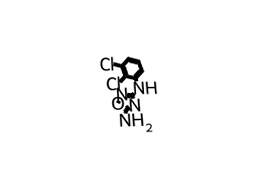 Nc1nc(Nc2cccc(Cl)c2Cl)no1